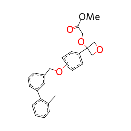 COC(=O)COC1(c2ccc(OCc3cccc(-c4ccccc4C)c3)cc2)COC1